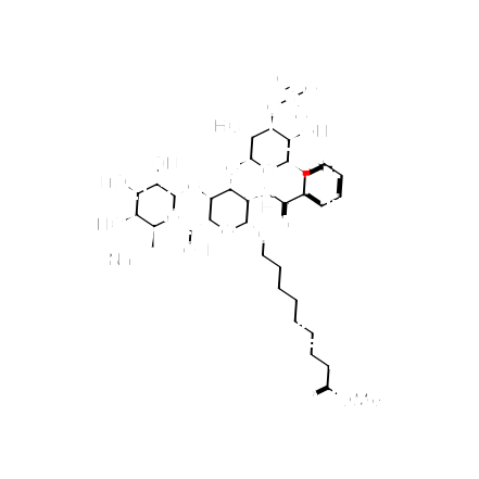 COC(=O)CCCCCCCCO[C@@H]1O[C@H](CO)[C@@H](O[C@@H]2O[C@@H](C)[C@@H](O)[C@@H](O)[C@@H]2O)[C@H](O[C@@H]2O[C@H](CO)[C@H](O)[C@H](OS(=O)(=O)[O-])[C@H]2O)[C@H]1NC(=O)c1ccccc1.[Na+]